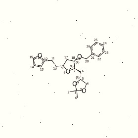 CC1(C)OC[C@@H](C[C@H]2OC(CCc3ccco3)C[C@H]2OCc2ccccc2)O1